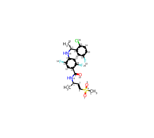 C[C@H](/C=C/S(C)(=O)=O)NC(=O)c1cc(F)c(N[C@@H](C)c2cc(F)ccc2Cl)cc1F